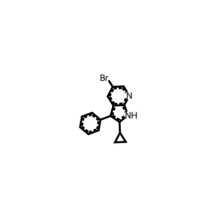 Brc1cnc2[nH]c(C3CC3)c(-c3ccccc3)c2c1